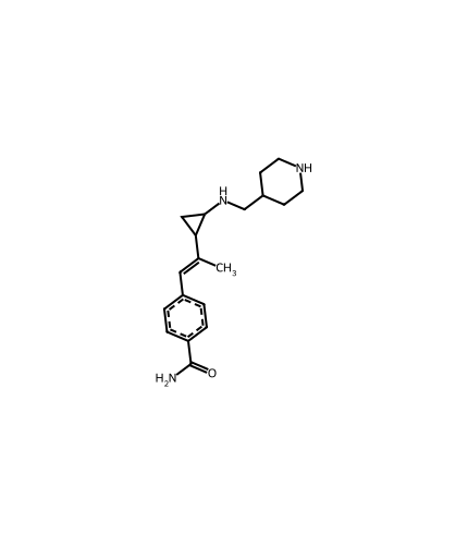 C/C(=C\c1ccc(C(N)=O)cc1)C1CC1NCC1CCNCC1